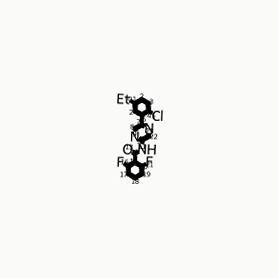 CCc1ccc(Cl)c(-c2cnc(NC(=O)c3c(F)cccc3F)cn2)c1